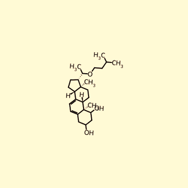 CC(C)CCOC(C)[C@H]1CC[C@H]2C3=CC=C4CC(O)CC(O)[C@]4(C)[C@H]3CC[C@]12C